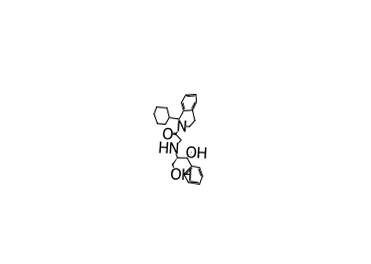 O=C(CN[C@H](CO)[C@H](O)c1ccccc1)N1CCc2ccccc2C1C1CCCCC1